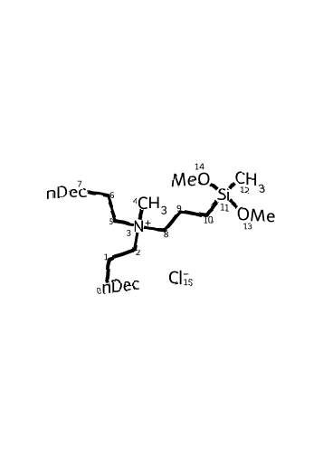 CCCCCCCCCCCC[N+](C)(CCCCCCCCCCCC)CCC[Si](C)(OC)OC.[Cl-]